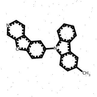 Cc1ccc2c(c1)c1ccccc1n2-c1ccc2oc3cnccc3c2c1